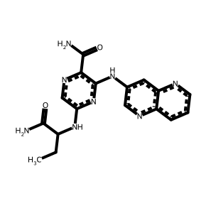 CCC(Nc1cnc(C(N)=O)c(Nc2cnc3cccnc3c2)n1)C(N)=O